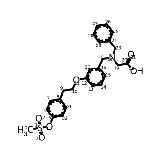 CS(=O)(=O)Oc1ccc(CCOc2cccc(CN(CC(=O)O)Cc3ccccc3)c2)cc1